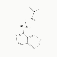 C=C(C)C(=O)OS(=O)(=O)c1cccc2ccccc12